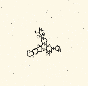 C=CC(N(C)C)S(=O)(=O)N1CCN(c2cc(C(C)C)nc(-n3ccnc3)n2)C(C(=O)NCc2ccc3c(c2)OCCO3)C1